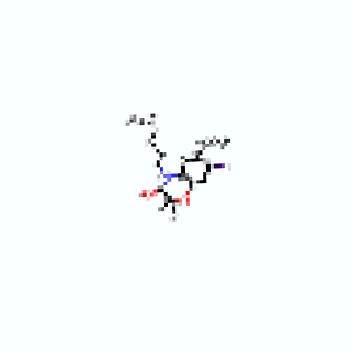 COCCCCN1C(=O)C(C)(C)Oc2cc(I)c(C(=O)O)cc21